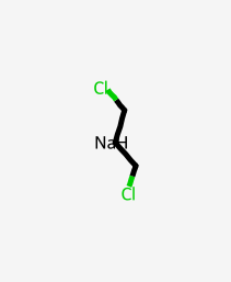 ClCCCCl.[NaH]